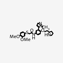 COc1ccc(SCC(=O)Nc2ccc(OCCC3CCCN3)c(-c3ccnn3C)c2)cc1OC